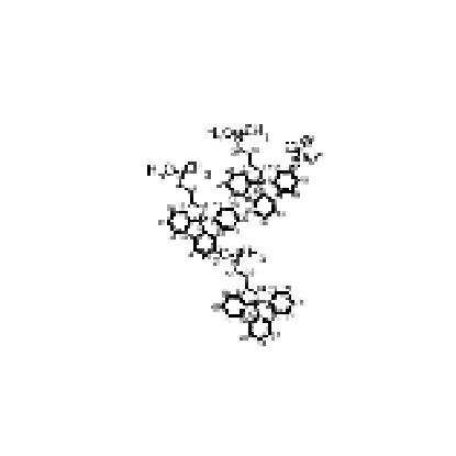 CN(C)CCCC[P+](c1ccccc1)(c1ccccc1)c1ccccc1.CN(C)CCCC[P+](c1ccccc1)(c1ccccc1)c1ccccc1.CN(C)CCCC[P+](c1ccccc1)(c1ccccc1)c1ccccc1.O=P([O-])([O-])[O-]